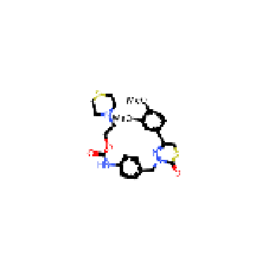 COc1ccc(C2=NN(Cc3ccc(NC(=O)OCCN4CCSCC4)cc3)C(=O)SC2)cc1OC